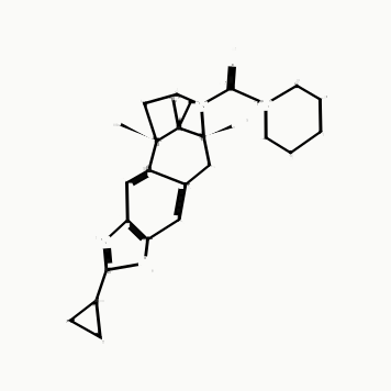 CC1(C)[C@H]2Cc3cc4oc(C5CC5)nc4cc3[C@]1(C)CCN2C(=O)N1CCCCC1